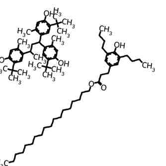 CCCCCCCCCCCCCCCCCCOC(=O)CCc1cc(CCCC)c(O)c(CCCC)c1.Cc1cc(O)c(C(C)(C)C)cc1C(C)CC(c1cc(C(C)(C)C)c(O)cc1C)c1cc(C(C)(C)C)c(O)cc1C